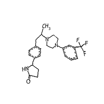 CC(Cc1ccc(C2CCC(=O)N2)cc1)N1CCN(c2cccc(C(F)(F)F)c2)CC1